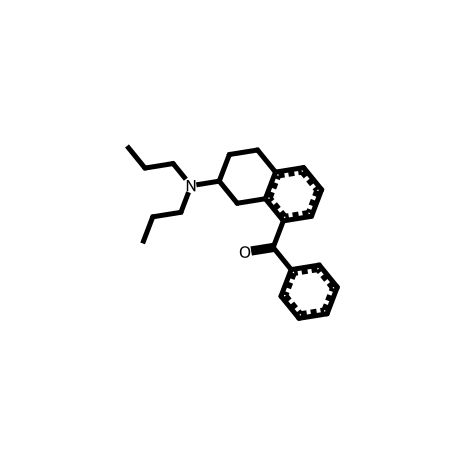 CCCN(CCC)C1CCc2cccc(C(=O)c3ccccc3)c2C1